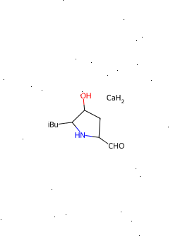 CCC(C)C1NC(C=O)CC1O.[CaH2]